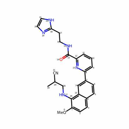 COc1ccc2ccc(-c3cccc(C(=O)NCCc4ncc[nH]4)n3)cc2c1NCC(C)C#N